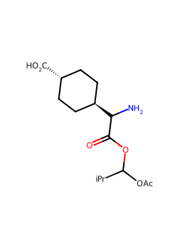 CC(=O)OC(OC(=O)C(N)[C@H]1CC[C@H](C(=O)O)CC1)C(C)C